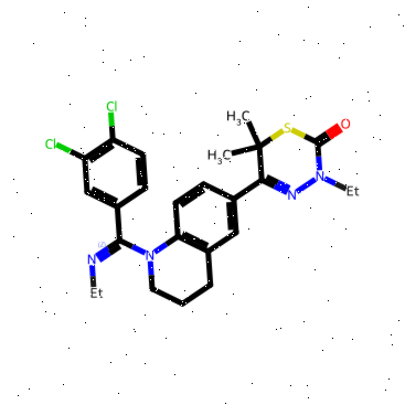 CC/N=C(/c1ccc(Cl)c(Cl)c1)N1CCCc2cc(C3=NN(CC)C(=O)SC3(C)C)ccc21